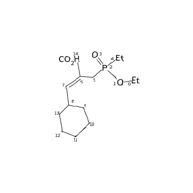 CCOP(=O)(CC)CC(=CC1CCCCC1)C(=O)O